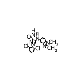 Cc1nc2cc(Nc3cn(-c4c(Cl)cccc4Cl)nc3C(N)=O)ccc2n1C